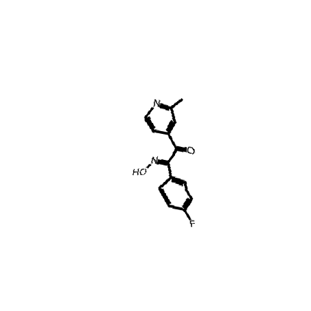 Cc1cc(C(=O)C(=NO)c2ccc(F)cc2)ccn1